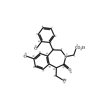 CCOC(=O)CN1CC(c2ccccc2Cl)c2cc(Cl)ccc2C(CC(C)C)C1=O